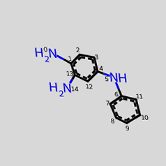 Nc1ccc(Nc2ccccc2)cc1N